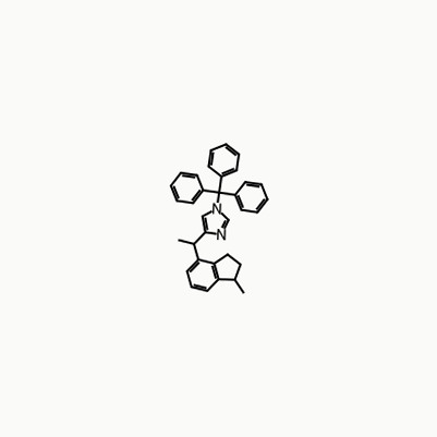 CC1CCc2c1cccc2C(C)c1cn(C(c2ccccc2)(c2ccccc2)c2ccccc2)cn1